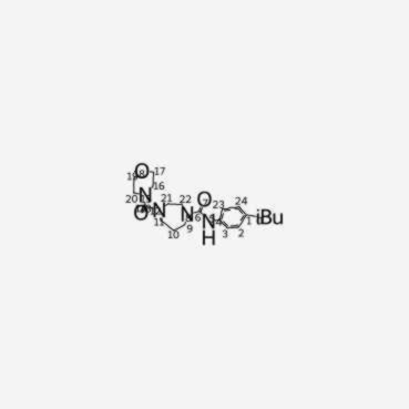 CCC(C)c1ccc(NC(=O)N2CCCN(C(=O)N3CCOCC3)CC2)cc1